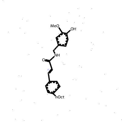 CCCCCCCCc1ccc(/C=C/C(=O)NCc2ccc(O)c(OC)c2)cc1